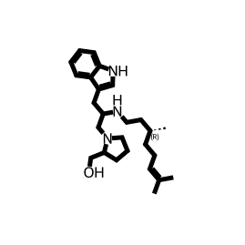 CC(C)=CCC[C@@H](C)CCNC(Cc1c[nH]c2ccccc12)CN1CCCC1CO